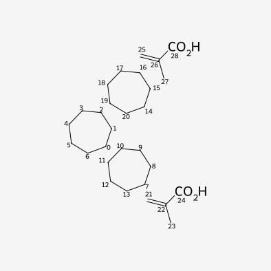 C1CCCCCC1.C1CCCCCC1.C1CCCCCC1.C=C(C)C(=O)O.C=C(C)C(=O)O